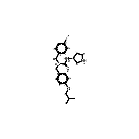 CC(C)COc1ccc(CN(Cc2ccc(F)cc2)C(=O)N[C@H]2CCNC2)cc1